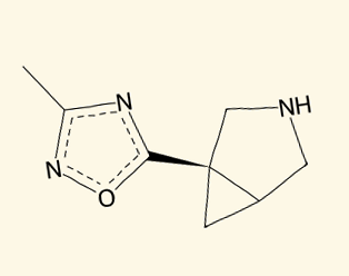 Cc1noc([C@@]23CNCC2C3)n1